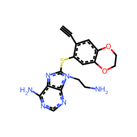 C#Cc1cc2c(cc1Sc1nc3c(N)ncnc3n1CCN)OCCO2